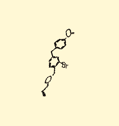 C=CCOCc1ccc(Cc2ccc(OC)cc2)cc1Br